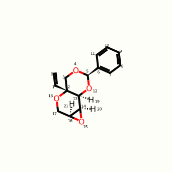 C=C[C@@]12CO[C@@H](c3ccccc3)O[C@H]1[C@H]1O[C@H]1CO2